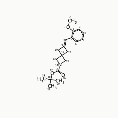 COc1ccccc1C=C1CC2(C1)CN(C(=O)OC(C)(C)C)C2